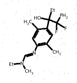 CCN(C)/C=N/c1cc(C)c(C(O)(CC)C(F)(F)P)cc1C